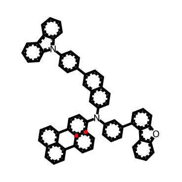 c1ccc(-c2cccc3cccc(-c4ccc(N(c5cccc(-c6cccc7oc8ccccc8c67)c5)c5ccc6ccc(-c7ccc(-n8c9ccccc9c9ccccc98)cc7)cc6c5)cc4)c23)cc1